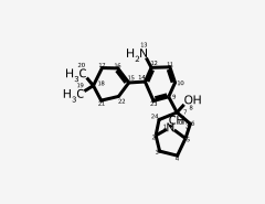 CN1C2CCC1CC(O)(c1ccc(N)c(C3=CCC(C)(C)CC3)c1)C2